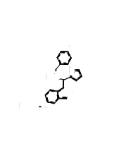 COc1ccc2c(C3NCc4ccc(Cl)cc4-n4cccc43)occ2c1